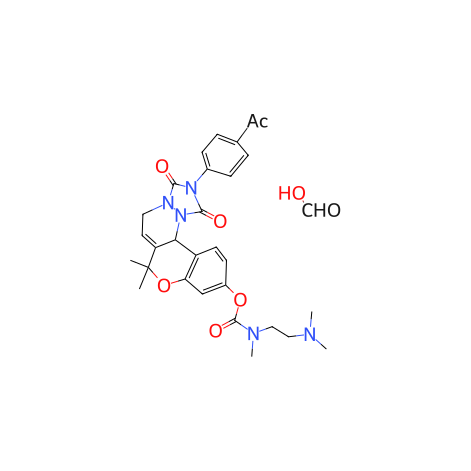 CC(=O)c1ccc(-n2c(=O)n3n(c2=O)C2C(=CC3)C(C)(C)Oc3cc(OC(=O)N(C)CCN(C)C)ccc32)cc1.O=CO